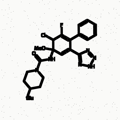 COC1(NC(=O)N2CCC(C(C)(C)C)CC2)C=C(c2nn[nH]n2)C(c2ccccc2)=C(F)C1Cl